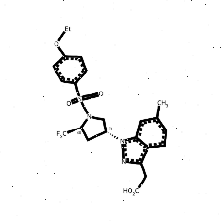 CCOc1ccc(S(=O)(=O)N2C[C@H](n3nc(CC(=O)O)c4ccc(C)cc43)C[C@H]2C(F)(F)F)cc1